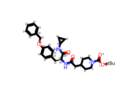 CC(C)(C)OC(=O)N1CCC(CC(=O)N[C@@H](Cc2ccc(OCc3ccccc3)cc2)C(=O)NC2CC2)CC1